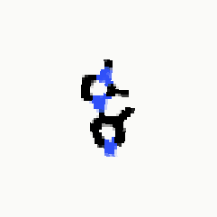 Cc1cnccc1N1C=CN(C)C1C